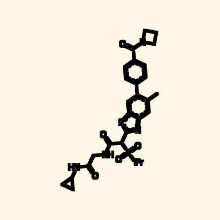 Cc1cc2nc(C(C(=O)NCC(=O)NC3CC3)S(=O)(=O)C(C)C)sc2cc1-c1ccc(C(=O)N2CCC2)cc1